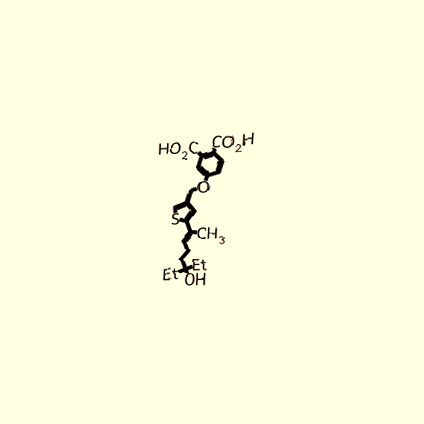 CCC(O)(CC)CC/C=C(\C)c1cc(COc2ccc(C(=O)O)c(C(=O)O)c2)cs1